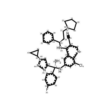 B[C@](Nc1cc(Cl)c2ncc(C#N)c(N[C@H](CCN3CCCC3)c3ccccc3)c2c1)(c1ccc(F)cc1)c1cn(C2CC2)nn1